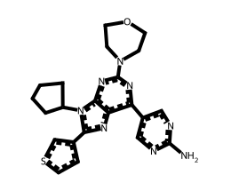 Nc1ncc(-c2nc(N3CCOCC3)nc3c2nc(-c2ccsc2)n3C2CCCC2)cn1